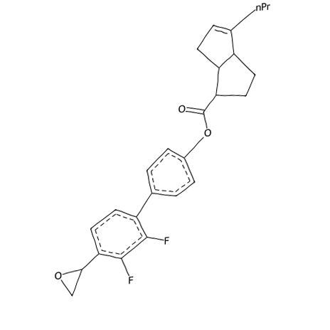 CCCC1=CCC2C(C(=O)Oc3ccc(-c4ccc(C5CO5)c(F)c4F)cc3)CCC12